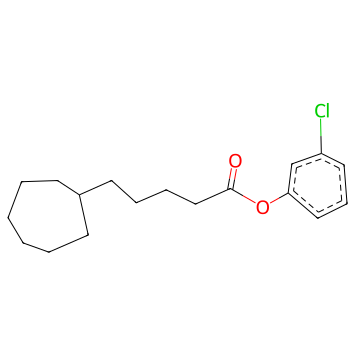 O=C(CCCCC1CCCCCC1)Oc1cccc(Cl)c1